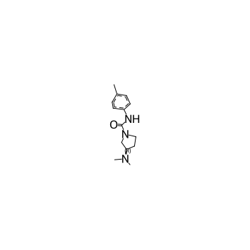 Cc1ccc(NC(=O)N2CC[C@@H](N(C)C)C2)cc1